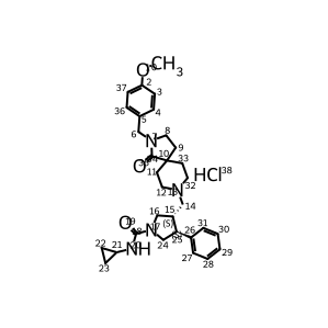 COc1ccc(CN2CCC3(CCN(C[C@H]4CN(C(=O)NC5CC5)C[C@@H]4c4ccccc4)CC3)C2=O)cc1.Cl